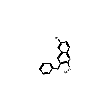 CSc1nc2ccc(Br)cc2cc1Cc1ccccc1